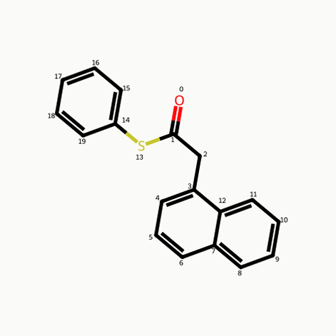 O=C(Cc1cccc2ccccc12)Sc1ccccc1